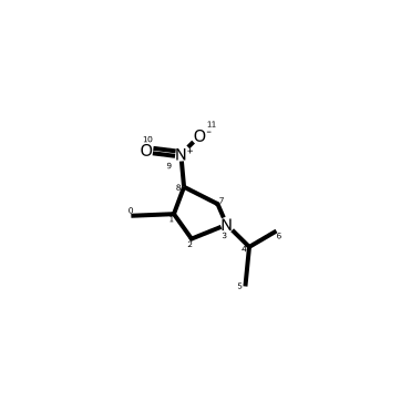 CC1CN(C(C)C)CC1[N+](=O)[O-]